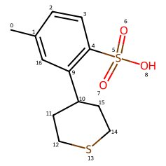 Cc1ccc(S(=O)(=O)O)c(C2CCSCC2)c1